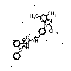 CCc1nc2c(C)cc(C)nc2n1-c1ccc(CCNC(=O)NS(=O)(=O)c2ccccc2Sc2ccccc2)cc1